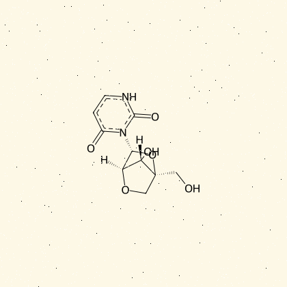 O=c1cc[nH]c(=O)n1[C@@H]1O[C@@]2(CO)CO[C@@H]1[C@@H]2O